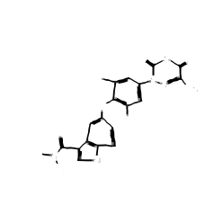 CN(C)C(=O)c1c[nH]c2ccc(Oc3c(Cl)cc(-n4nc(C#N)c(=O)[nH]c4=O)cc3Cl)cc12